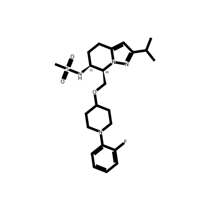 CC(C)c1cc2n(n1)[C@@H](COC1CCN(c3ccccc3F)CC1)[C@@H](NS(C)(=O)=O)CC2